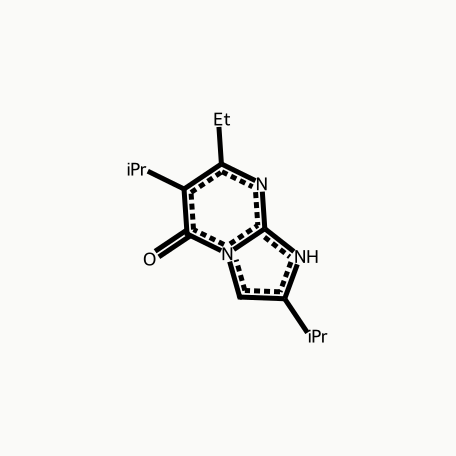 CCc1nc2[nH]c(C(C)C)cn2c(=O)c1C(C)C